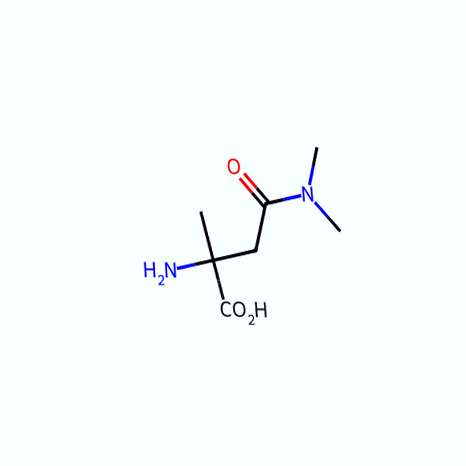 CN(C)C(=O)CC(C)(N)C(=O)O